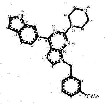 COc1cccc(Cn2cnc3c(-c4ccc5cc[nH]c5c4)nc(N4CCOCC4)nc32)c1